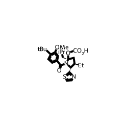 CC[C@@H]1C[C@](CC(C)C)(OC(=O)O)N(C(=O)c2ccc(C(C)(C)C)c(OC)c2)[C@H]1c1nccs1